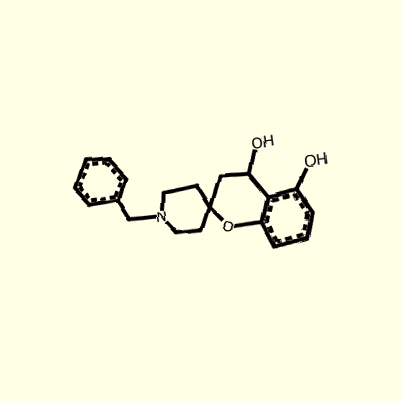 Oc1cccc2c1C(O)CC1(CCN(Cc3ccccc3)CC1)O2